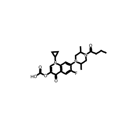 CCCC(=O)N1CC(C)N(c2cc3c(cc2F)c(=O)c(OC(=O)O)cn3C2CC2)CC1C